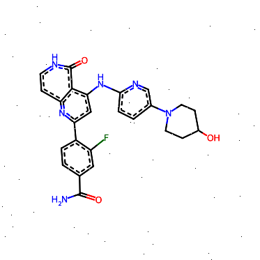 NC(=O)c1ccc(-c2cc(Nc3ccc(N4CCC(O)CC4)cn3)c3c(=O)[nH]ccc3n2)c(F)c1